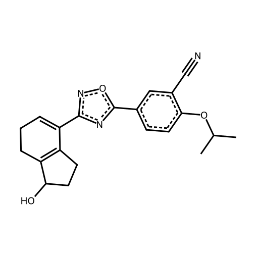 CC(C)Oc1ccc(-c2nc(C3=CCCC4=C3CCC4O)no2)cc1C#N